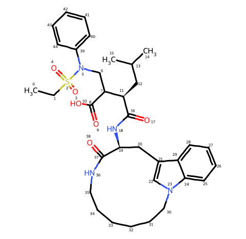 CCS(=O)(=O)N(CC(C(=O)O)[C@@H](CC(C)C)C(=O)N[C@H]1Cc2cn(c3ccccc23)CCCCCCNC1=O)c1ccccc1